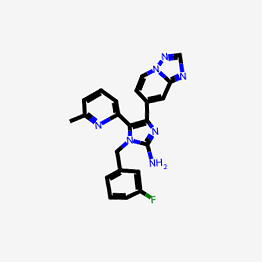 Cc1cccc(-c2c(-c3ccn4ncnc4c3)nc(N)n2Cc2cccc(F)c2)n1